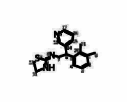 Cc1cccc(C(CN=C2NCCS2)c2cccnc2)c1C